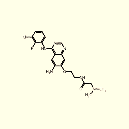 CN(C)CC(=O)NCCOc1cc2ncnc(Nc3cccc(Cl)c3F)c2cc1N